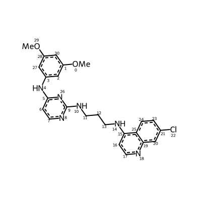 COc1cc(Nc2ccnc(NCCCNc3ccnc4cc(Cl)ccc34)n2)cc(OC)c1